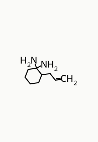 C=CCC1CCCCC1(N)N